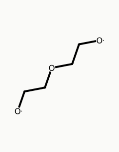 [O]CCOCC[O]